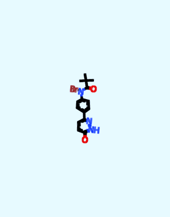 CC(C)(C)C(=O)N(Br)c1ccc(-c2ccc(=O)[nH]n2)cc1